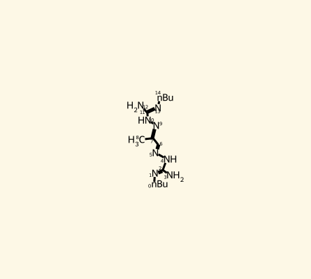 CCCCN=C(N)N/N=C/C(C)=N/NC(N)=NCCCC